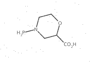 O=C(O)C1CN(P)CCO1